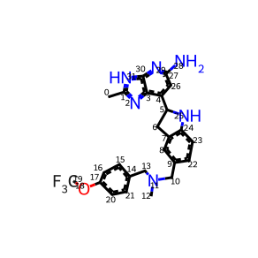 Cc1nc2c(C3Cc4cc(CN(C)Cc5ccc(OC(F)(F)F)cc5)ccc4N3)cc(N)nc2[nH]1